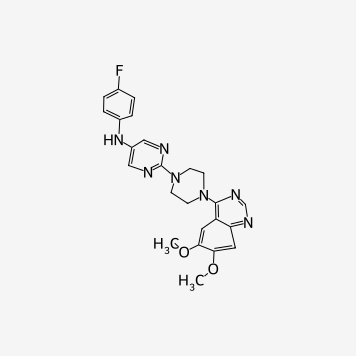 COc1cc2ncnc(N3CCN(c4ncc(Nc5ccc(F)cc5)cn4)CC3)c2cc1OC